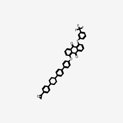 O=C1c2cccc(Sc3cccc(C(F)(F)F)c3)c2C(=O)c2cccc(Oc3ccc(-c4ccc(C5CCC(c6ccc(C7CO7)cc6)CC5)cc4)cc3)c21